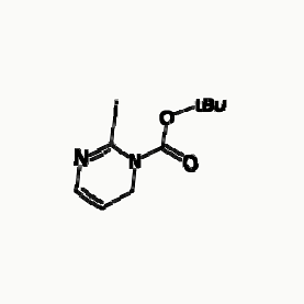 CC(C)(C)OC(=O)N1CC=CN=C1I